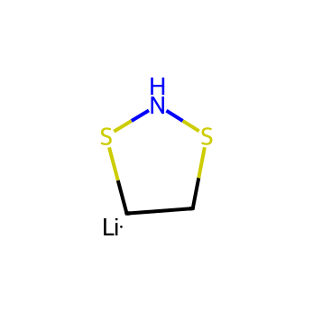 C1CSNS1.[Li]